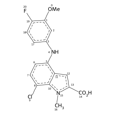 COc1cc(Nc2ccc(Cl)c3c2cc(C(=O)O)n3C)ccc1F